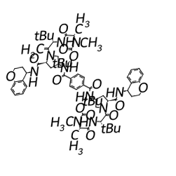 C=C([C@@H](NC(=O)[C@H](C)N(C)C(=O)OC(C)(C)C)C(C)(C)C)N1C[C@@H](NC(=O)c2ccc(C(=O)N[C@H]3C[C@@H](C(=O)N[C@@H]4CCOc5ccccc54)N(C(=O)[C@@H](NC(=O)[C@H](C)N(C)C(=O)OC(C)(C)C)C(C)(C)C)C3)cc2)C[C@H]1C(=O)N[C@@H]1CCOc2ccccc21